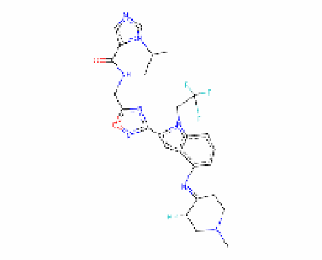 CC(C)n1cncc1C(=O)NCc1nc(-c2cc3c(/N=C4\CCN(C)C[C@@H]4F)cccc3n2CC(F)(F)F)no1